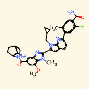 COc1cc(C(=O)N2CC3CCC2C3N)cc2nc(-c3cc4ccc(-c5cc(F)c(C(N)=O)cc5C)nc4n3CC3CC3)n(C)c12